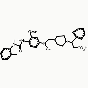 COc1cc(N(CC2CCN(C(CC(=O)O)c3ccccc3)CC2)C(C)=O)ccc1NC(=O)Nc1ccccc1C